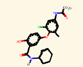 CCOC(=O)C(=O)Nc1cc(C)c(Oc2ccc(O)c(C(=O)N(CC)C3CCCCC3)c2)c(Cl)c1